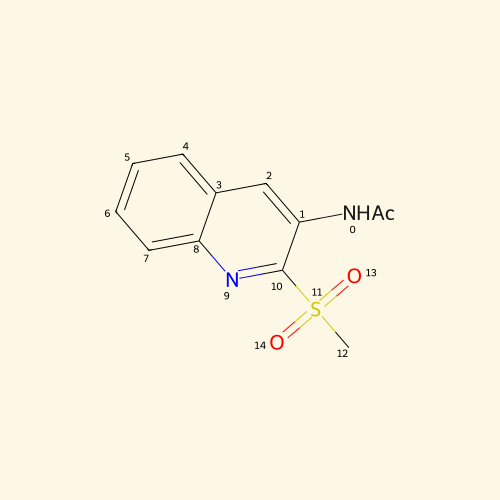 CC(=O)Nc1cc2ccccc2nc1S(C)(=O)=O